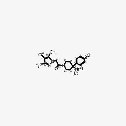 CCN(CC)C1(c2ccc(Cl)cc2)CCN(C(=O)Cn2nc(C(F)(F)F)c(Cl)c2C)CC1